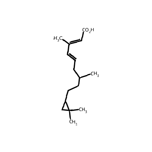 CC(C=CCC(C)CCC1CC1(C)C)=CC(=O)O